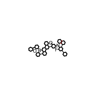 Fc1cc(-c2ccccc2)cc(-c2ccccc2)c1N(c1ccccc1)c1ccc2c(c1)Oc1cccc3c1c-2cc1c2cccc4c2c(cc31)B(c1cccc2c1oc1ccccc12)c1ccccc1-4